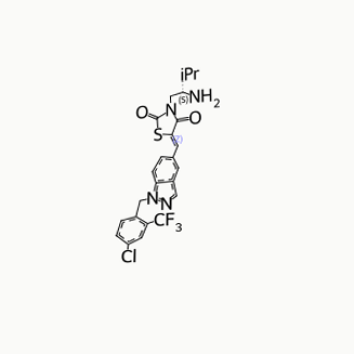 CC(C)[C@H](N)CN1C(=O)S/C(=C\c2ccc3c(cnn3Cc3ccc(Cl)cc3C(F)(F)F)c2)C1=O